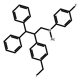 CC(=O)N(CC(c1ccc(CI)cc1)C(c1ccccc1)c1ccccc1)c1ccc(F)cc1